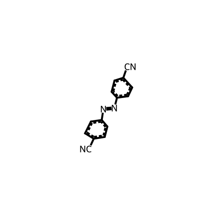 N#Cc1ccc(N=Nc2ccc(C#N)cc2)cc1